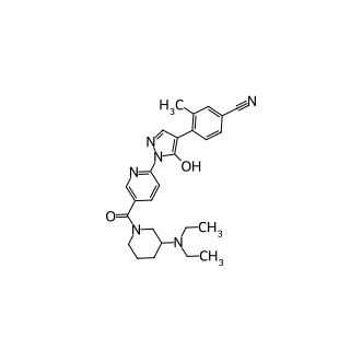 CCN(CC)C1CCCN(C(=O)c2ccc(-n3ncc(-c4ccc(C#N)cc4C)c3O)nc2)C1